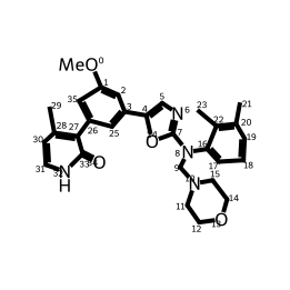 COc1cc(-c2cnc(N(CN3CCOCC3)c3cccc(C)c3C)o2)cc(-c2c(C)cc[nH]c2=O)c1